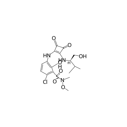 CON(C)S(=O)(=O)c1c(Cl)ccc(Nc2c(N[C@@H](CO)C(C)C)c(=O)c2=O)c1O